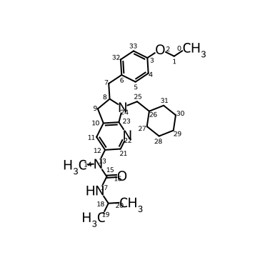 CCOc1ccc(CC2Cc3cc(N(C)C(=O)NC(C)C)cnc3N2CC2CCCCC2)cc1